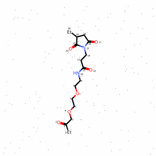 CCC(=O)COCCOCCNC(=O)CCN1C(=O)CC(CC)C1=O